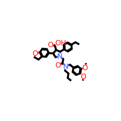 CCCCN(Cc1ccc(OC)c(OC)c1)C(=O)CN1CC(c2ccc3c(c2)CCO3)C(C(=O)O)C1c1ccc(CC)cc1